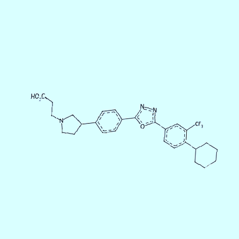 O=C(O)CCN1CCC(c2ccc(-c3nnc(-c4ccc(C5CCCCC5)c(C(F)(F)F)c4)o3)cc2)C1